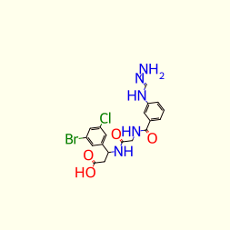 NN=CNc1cccc(C(=O)NCC(=O)NC(CC(=O)O)c2cc(Cl)cc(Br)c2)c1